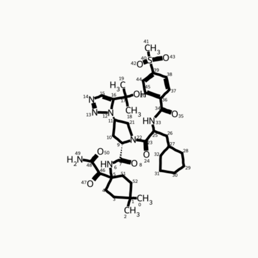 CC1(C)CCC(NC(=O)[C@@H]2C[C@H](n3nncc3C(C)(C)O)CN2C(=O)C(CC2CCCCC2)NC(=O)c2ccc(S(C)(=O)=O)cc2)(C(=O)C(N)=O)CC1